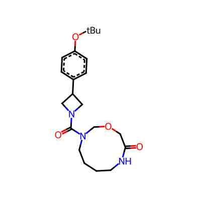 CC(C)(C)Oc1ccc(C2CN(C(=O)N3CCCCNC(=O)COC3)C2)cc1